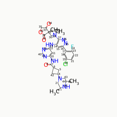 CC1CN(C2CC(C(=O)Nc3cc(Nc4cc(-c5cc(Cl)ccc5F)nnc4N(C)CC4(C)C(=O)COC4=O)ncn3)C2)CC(C)N1